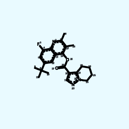 Cc1nc2c(F)cc(C(C)(C)C)cc2c(OC(=O)c2cnn3c2CCCC3)c1C